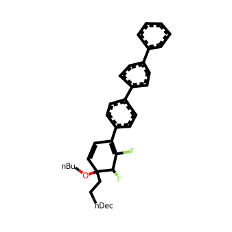 CCCCCCCCCCCCC1(OCCCC)C=CC(c2ccc(-c3ccc(-c4ccccc4)cc3)cc2)=C(F)C1F